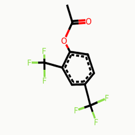 CC(=O)Oc1ccc(C(F)(F)F)cc1C(F)(F)F